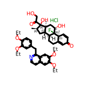 CCOc1ccc(Cc2nccc3cc(OCC)c(OCC)cc23)cc1OCC.C[C@@H]1C[C@H]2[C@@H]3CCC4=CC(=O)C=C[C@]4(C)[C@@]3(F)[C@@H](O)C[C@]2(C)[C@@]1(O)C(=O)CO.Cl